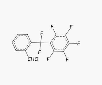 O=Cc1ccccc1C(F)(F)c1c(F)c(F)c(F)c(F)c1F